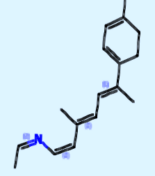 C\C=N/C=C\C(C)=C\C=C(/C)C1=CC=C(C)CC1